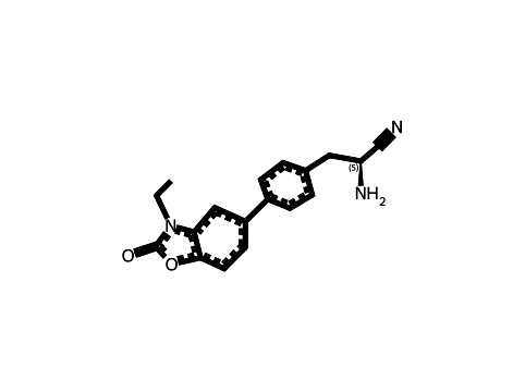 CCn1c(=O)oc2ccc(-c3ccc(C[C@H](N)C#N)cc3)cc21